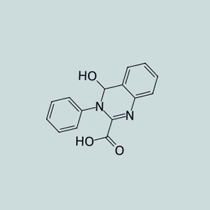 O=C(O)C1=Nc2ccccc2C(O)N1c1ccccc1